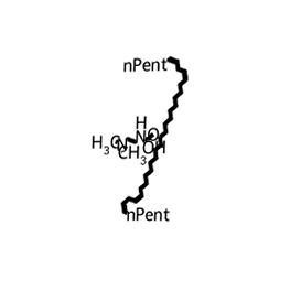 CCCCC/C=C\C/C=C\CCCCCCCCC(CCCCCCCC/C=C\C/C=C\CCCCC)OC(O)NCCN(C)C